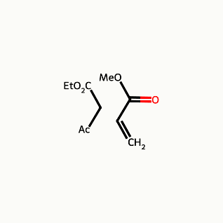 C=CC(=O)OC.[CH2]COC(=O)CC(C)=O